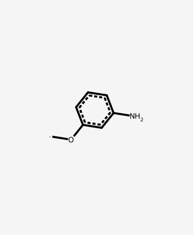 [CH2]Oc1cccc(N)c1